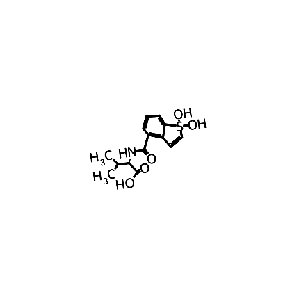 CC(C)[C@H](NC(=O)c1cccc2c1C=CS2(O)O)C(=O)O